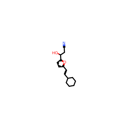 N#CCC(O)c1ccc(C=CC2CCCCC2)o1